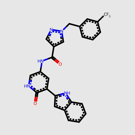 O=C(Nc1c[nH]c(=O)c(-c2cc3ccccc3[nH]2)c1)c1cnn(Cc2cccc(C(F)(F)F)c2)c1